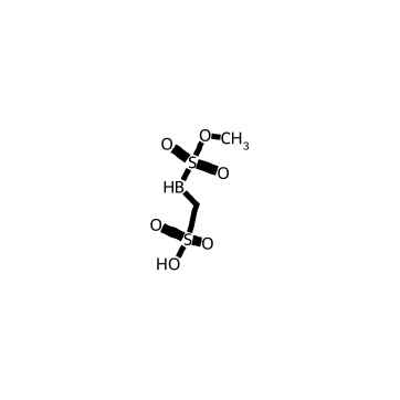 COS(=O)(=O)BCS(=O)(=O)O